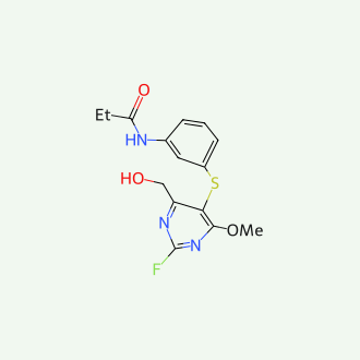 CCC(=O)Nc1cccc(Sc2c(CO)nc(F)nc2OC)c1